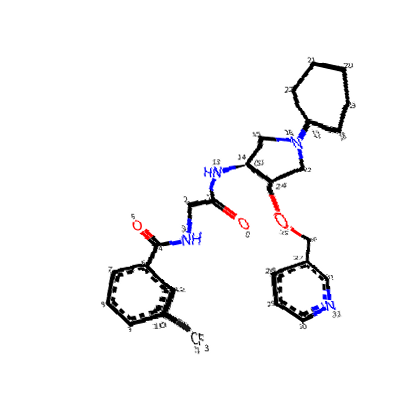 O=C(CNC(=O)c1cccc(C(F)(F)F)c1)N[C@H]1CN(C2CCCCC2)CC1OCc1cccnc1